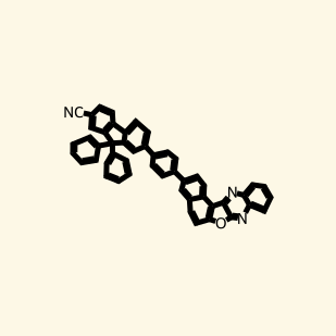 N#Cc1ccc2c(c1)C(c1ccccc1)(c1ccccc1)c1cc(-c3ccc(-c4ccc5c(ccc6oc7nc8ccccc8nc7c65)c4)cc3)ccc1-2